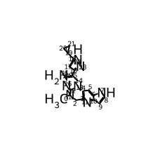 CN(Cc1ccc2[nH]ccc2n1)c1ncc(-c2cc(C3CC3)[nH]n2)c(N)n1